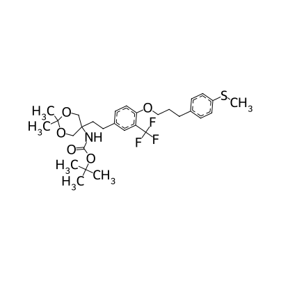 CSc1ccc(CCCOc2ccc(CCC3(NC(=O)OC(C)(C)C)COC(C)(C)OC3)cc2C(F)(F)F)cc1